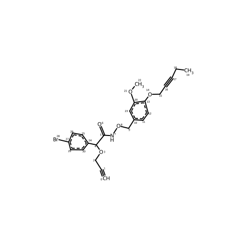 C#CCOC(C(=O)NOCc1ccc(OCC#CCC)c(OC)c1)c1ccc(Br)cc1